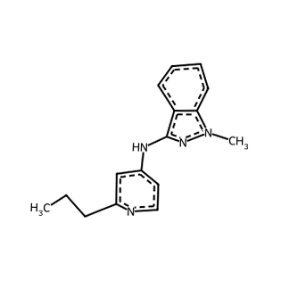 CCCc1cc(Nc2nn(C)c3ccccc23)ccn1